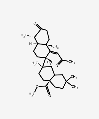 COC(=O)[C@]12CCC(C)(C)CC1C[C@](C)([C@]1(C)CC[C@H]3[C@H](C)C(=O)CC[C@]3(C)/C1=C/C(C)=O)CC2